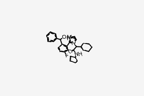 COC(c1ccccc1)c1ccc(F)cc1-c1nccn1C(C(=O)NC1CCCC1)C1CCCCC1